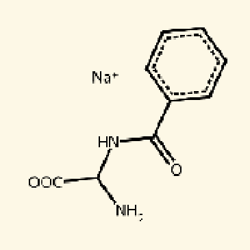 NC(NC(=O)c1ccccc1)C(=O)[O-].[Na+]